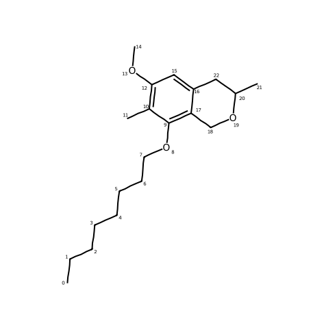 CCCCCCCCOc1c(C)c(OC)cc2c1COC(C)C2